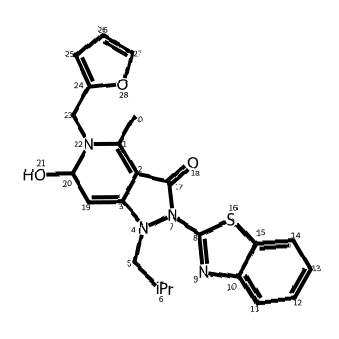 CC1=c2c(n(CC(C)C)n(-c3nc4ccccc4s3)c2=O)=CC(O)N1Cc1ccco1